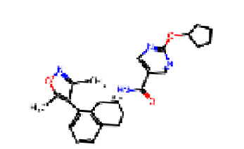 Cc1noc(C)c1-c1cccc2c1C[C@H](NC(=O)c1cnc(OC3CCCC3)nc1)CC2